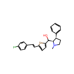 CN1CC[C@H](c2ccccc2)[C@@H]1C(O)c1ccc(C=Cc2ccc(F)cc2)s1